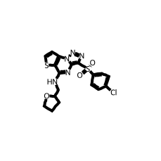 O=S(=O)(c1ccc(Cl)cc1)c1nnn2c1nc(NCC1CCCO1)c1sccc12